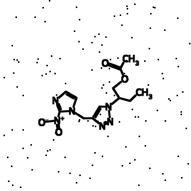 CCC(COC(C)=O)n1cc(Cn2ccnc2[N+](=O)[O-])nn1